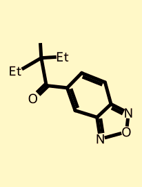 CCC(C)(CC)C(=O)c1ccc2nonc2c1